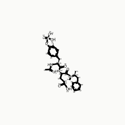 CC(=O)N[C@@H](Cc1ccc(OP(=O)(O)O)cc1)C(=O)NC(CCC(=O)O)C(=O)N(C)[C@@H](C)Cc1ccccc1